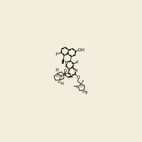 C#Cc1c(F)ccc2cc(O)cc(-c3ncc4c(N5C[C@H]6CC[C@@H](C5)N6C(=O)C=C)nc(OC[C@]5(C)C[C@@H](F)CN5C)nc4c3F)c12